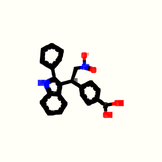 O=[N+]([O-])C[C@@H](c1ccc(B(O)O)cc1)c1c(-c2ccccc2)[nH]c2ccccc12